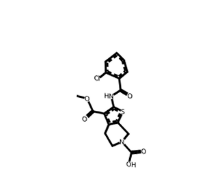 COC(=O)c1c(NC(=O)c2ccccc2Cl)sc2c1CCN(C(=O)O)C2